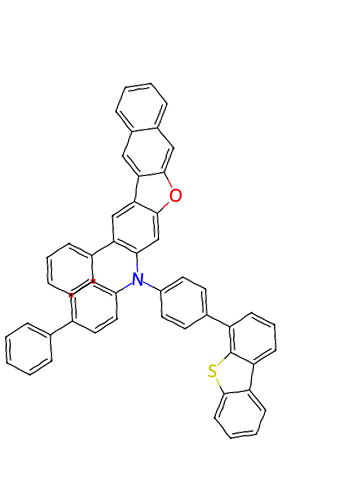 c1ccc(-c2ccc(N(c3ccc(-c4cccc5c4sc4ccccc45)cc3)c3cc4oc5cc6ccccc6cc5c4cc3-c3ccccc3)cc2)cc1